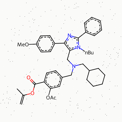 C=C(C)OC(=O)c1ccc(CN(Cc2c(-c3ccc(OC)cc3)nc(-c3ccccc3)n2CCCC)CC2CCCCC2)cc1OC(C)=O